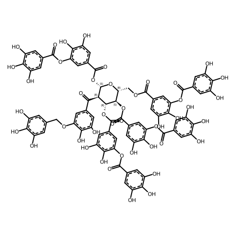 O=C(OC[C@H]1O[C@@H](OC(=O)c2cc(O)c(O)c(OC(=O)c3cc(O)c(O)c(O)c3)c2)[C@H](C(=O)c2cc(O)c(O)c(OCc3cc(O)c(O)c(O)c3)c2)[C@@H](OC(=O)c2cc(O)c(O)c(OC(=O)c3cc(O)c(O)c(O)c3)c2)[C@@H]1OC(=O)c1cc(O)c(O)c(OC(=O)c2cc(O)c(O)c(O)c2)c1)c1cc(O)c(O)c(OC(=O)c2cc(O)c(O)c(O)c2)c1